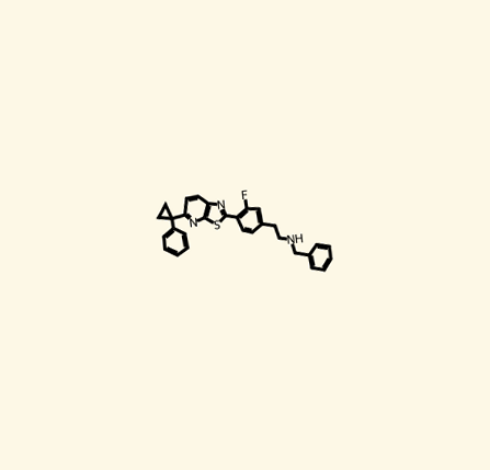 Fc1cc(CCNCc2ccccc2)ccc1-c1nc2ccc(C3(c4ccccc4)CC3)nc2s1